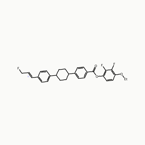 CCOc1ccc(OC(=O)c2ccc(C3CCC(c4ccc(/C=C/CF)cc4)CC3)cc2)c(F)c1F